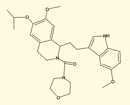 COc1ccc2[nH]cc(CCC3c4cc(OC)c(OC(C)C)cc4CCN3C(=O)N3CCOCC3)c2c1